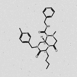 CCCC[C@H]1C(=O)N(Cc2ccc(C)cc2)C[C@H]2N1C(=O)CN(C)N2C(=O)NCc1ccccc1